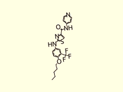 CCCCCOc1ccc(Nc2nc(C(=O)Nc3ccncc3)cs2)cc1C(F)(F)F